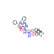 CC(C)(C)C(=O)OC1CC(Nc2ncnc(N(Cc3ccccc3)Cc3ccccc3)c2[N+](=O)[O-])CN1